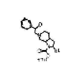 CCC1CC2CCN(CC(=O)c3ccccc3)CC2N1C(=O)OC(C)(C)C